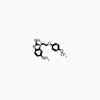 Nc1ccc2nc(N)n(CCOc3ccc(OC(F)(F)F)cc3)c2c1